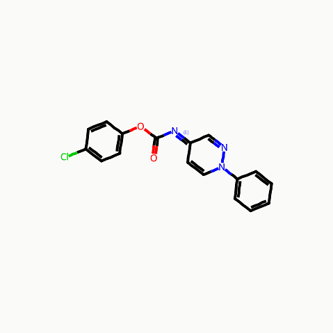 O=C(/N=c1\ccn(-c2ccccc2)nc1)Oc1ccc(Cl)cc1